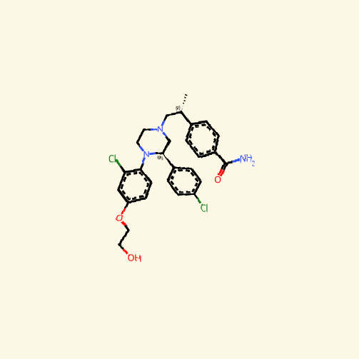 C[C@@H](CN1CCN(c2ccc(OCCO)cc2Cl)[C@H](c2ccc(Cl)cc2)C1)c1ccc(C(N)=O)cc1